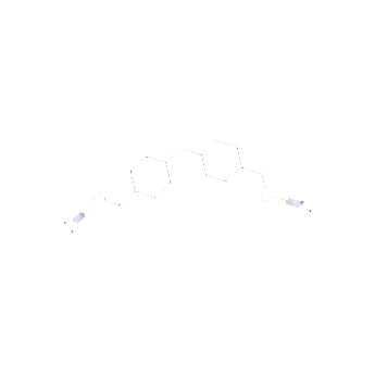 N#COCC1CCC(CC2CCC(COC#N)CC2)CC1